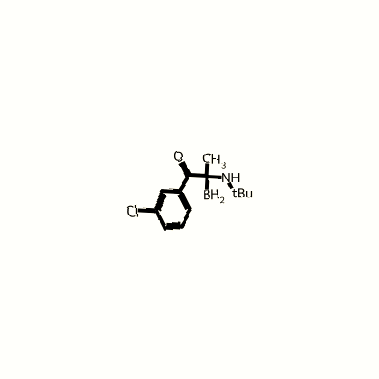 BC(C)(NC(C)(C)C)C(=O)c1cccc(Cl)c1